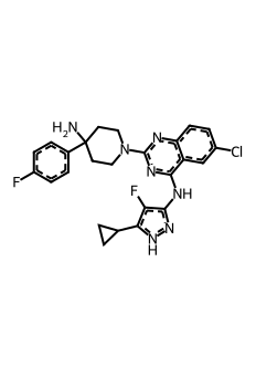 NC1(c2ccc(F)cc2)CCN(c2nc(Nc3n[nH]c(C4CC4)c3F)c3cc(Cl)ccc3n2)CC1